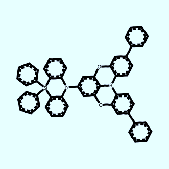 c1ccc(-c2ccc3c(c2)Oc2cc(N4c5ccccc5[Si](c5ccccc5)(c5ccccc5)c5ccccc54)cc4c2B3c2ccc(-c3ccccc3)cc2O4)cc1